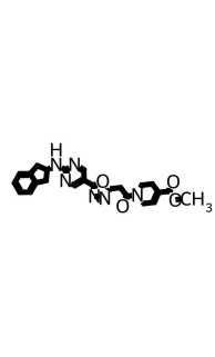 COC(=O)C1=CCN(C(=O)Cc2nnc(-c3cnc(NC4Cc5ccccc5C4)nc3)o2)CC1